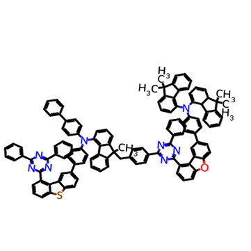 CC1(C)c2ccccc2-c2c(N(C3=CC=CC4C3c3ccccc3C4(C)C)c3ccc(-c4ccc5oc6cccc(-c7nc(-c8ccccc8)nc(-c8ccc(CC9(C)c%10ccccc%10-c%10c(N(c%11ccc(-c%12ccccc%12)cc%11)c%11ccc(-c%12ccc%13sc%14cccc(-c%15nc(-c%16ccccc%16)nc(-c%16ccccc%16)n%15)c%14c%13c%12)cc%11)cccc%109)cc8)n7)c6c5c4)cc3)cccc21